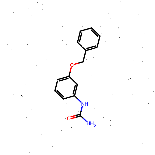 NC(=O)Nc1cccc(OCc2ccccc2)c1